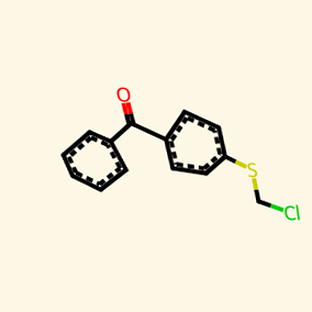 O=C(c1ccccc1)c1ccc(SCCl)cc1